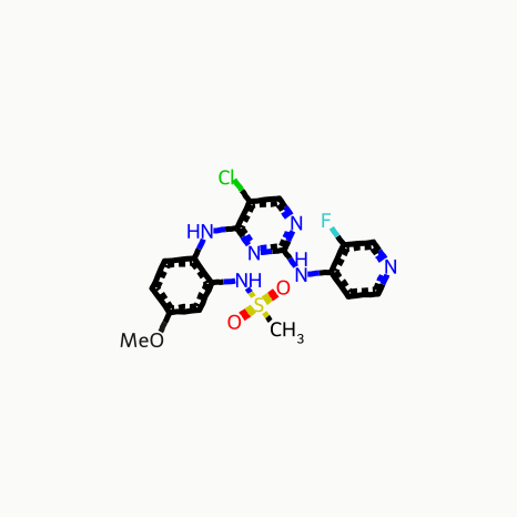 COc1ccc(Nc2nc(Nc3ccncc3F)ncc2Cl)c(NS(C)(=O)=O)c1